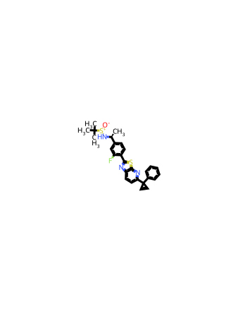 C[C@H](N[S+]([O-])C(C)(C)C)c1ccc(-c2nc3ccc(C4(c5ccccc5)C=C4)nc3s2)c(F)c1